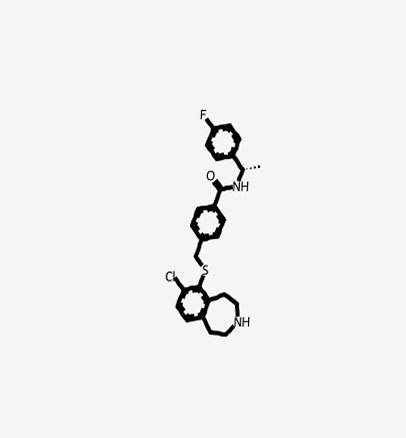 C[C@H](NC(=O)c1ccc(CSc2c(Cl)ccc3c2CCNCC3)cc1)c1ccc(F)cc1